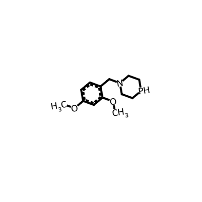 COc1ccc(CN2CCPCC2)c(OC)c1